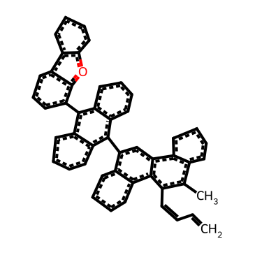 C=C/C=C\c1c(C)c2ccccc2c2cc(-c3c4ccccc4c(-c4cccc5c4oc4ccccc45)c4ccccc34)c3ccccc3c12